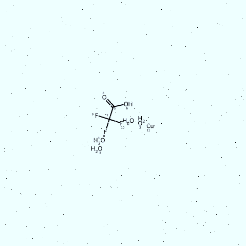 O.O.O.O.O=C(O)C(F)(F)F.[Cu]